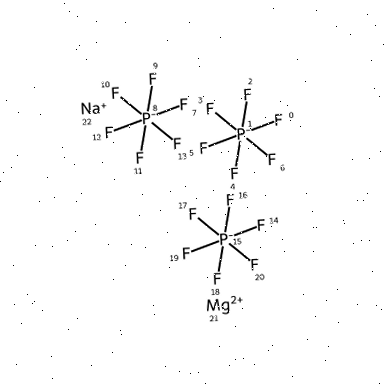 F[P-](F)(F)(F)(F)F.F[P-](F)(F)(F)(F)F.F[P-](F)(F)(F)(F)F.[Mg+2].[Na+]